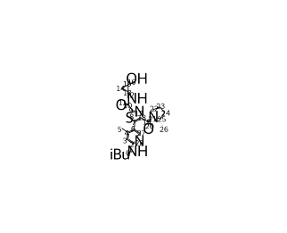 CC[C@@H](C)Nc1cc(C)c(-c2sc(C(=O)N[C@@H]3C[C@@H]3O)nc2C(=O)N2CCC[C@@H]2C)cn1